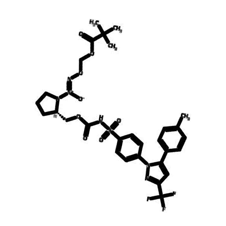 Cc1ccc(-c2cc(C(F)(F)F)nn2-c2ccc(S(=O)(=O)NC(=O)OC[C@@H]3CCCN3[N+]([O-])=NOCOC(=O)C(C)(C)C)cc2)cc1